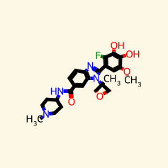 COc1cc(-c2nc3ccc(C(=O)NC4CCN(C)CC4)cc3n2C2(C)COC2)c(F)c(O)c1O